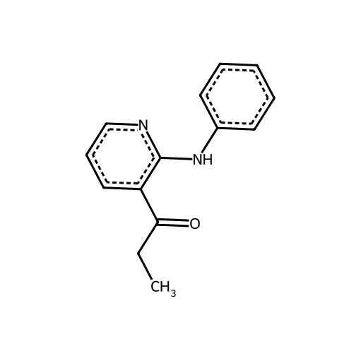 CCC(=O)c1cccnc1Nc1ccccc1